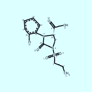 CCCS(=O)(=O)N1C[C@@H](C(=O)O)N(c2ccccc2Cl)C1=O